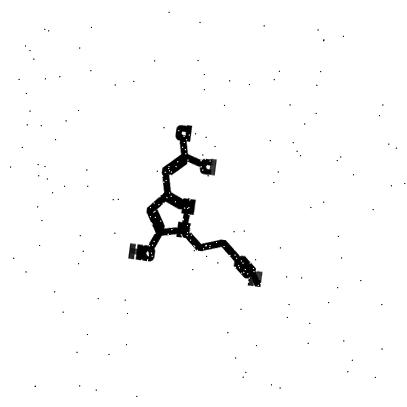 N#CCCn1nc(C=C(Cl)Cl)cc1O